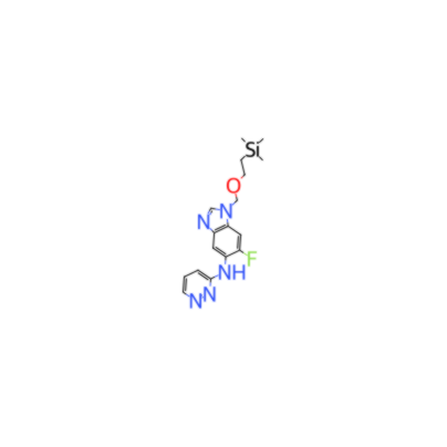 C[Si](C)(C)CCOCn1cnc2cc(Nc3cccnn3)c(F)cc21